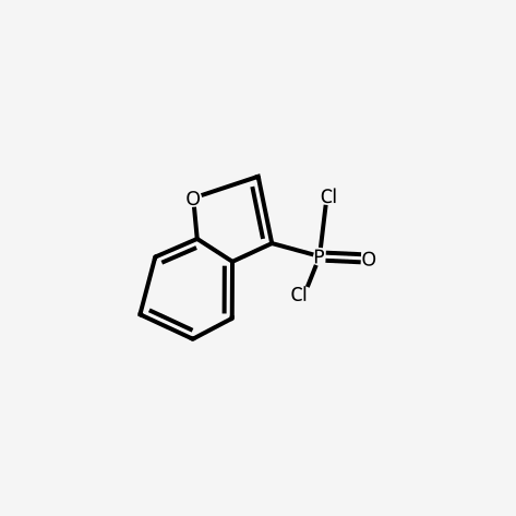 O=P(Cl)(Cl)c1coc2ccccc12